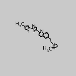 Cc1csc(-c2ncc(-c3ccc4cc(CCN5CCC[C@H]5C)ccc4n3)s2)c1